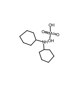 C1CCC(NC2CCCCC2)CC1.[O]=[Mo](=[O])([OH])[OH]